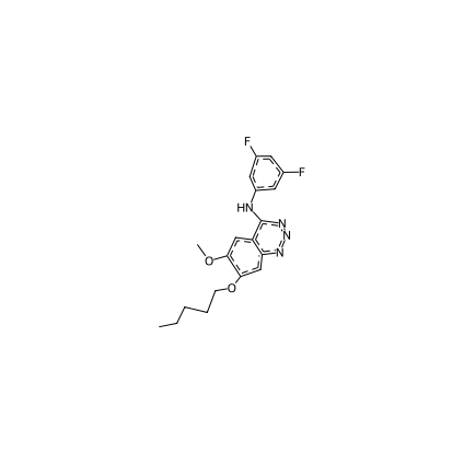 CCCCCOc1cc2nnnc(Nc3cc(F)cc(F)c3)c2cc1OC